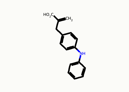 C=C(Cc1ccc(Nc2ccccc2)cc1)C(=O)O